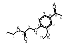 CCOC(=O)COc1ccc(C(C)=O)cc1OC